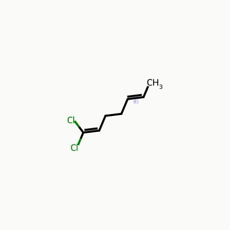 C/C=C/CCC=C(Cl)Cl